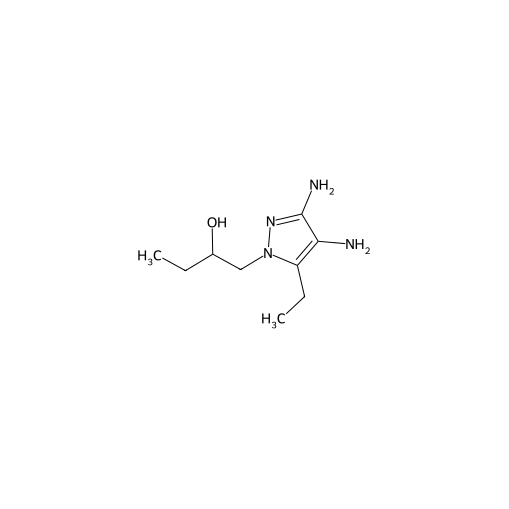 CCc1c(N)c(N)nn1CC(O)CC